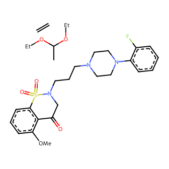 C=C.CCOC(C)OCC.COc1cccc2c1C(=O)CN(CCCN1CCN(c3ccccc3F)CC1)S2(=O)=O